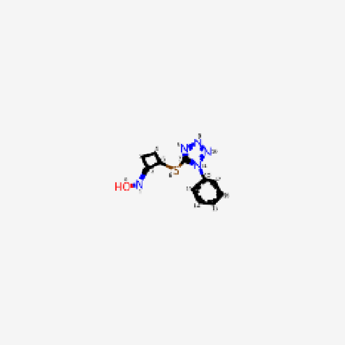 O/N=C1\CCC1Sc1nnnn1-c1ccccc1